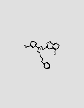 COc1cccc(C(CCCCCc2ccccc2)CNC(=O)Cc2c(Cl)cncc2Cl)c1